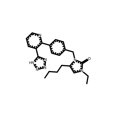 CCCCc1cn(CC)c(=O)n1Cc1ccc(-c2ncccc2-c2nnn[nH]2)cc1